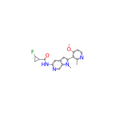 COc1ccnc(C)c1-c1cc2cc(NC(=O)C3CC3F)ncc2n1C